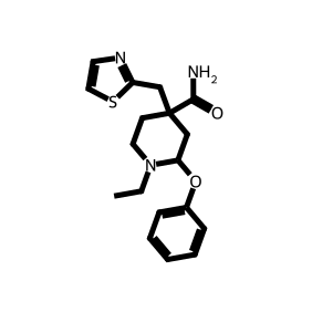 CCN1CCC(Cc2nccs2)(C(N)=O)CC1Oc1ccccc1